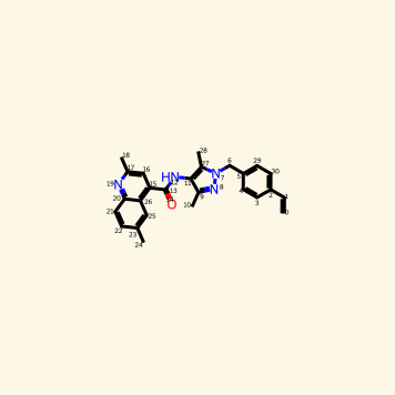 C=Cc1ccc(Cn2nc(C)c(NC(=O)c3cc(C)nc4ccc(C)cc34)c2C)cc1